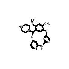 COc1cc(C)c(Sc2cnc(Nc3ccccn3)s2)cc1C(=O)N1CCNCC1